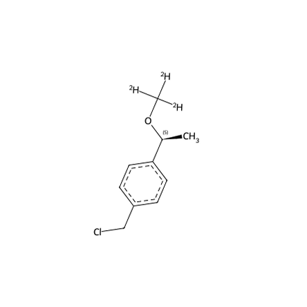 [2H]C([2H])([2H])O[C@@H](C)c1ccc(CCl)cc1